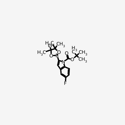 CC(C)(C)OC(=O)n1c(B2OC(C)(C)C(C)(C)O2)cc2cc(F)ccc21